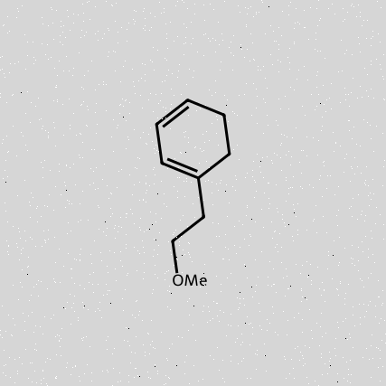 COCCC1=CC=CCC1